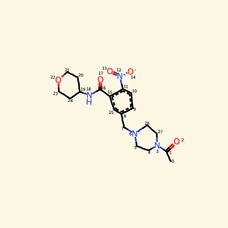 CC(=O)N1CCN(Cc2ccc([N+](=O)[O-])c(C(=O)NC3CCOCC3)c2)CC1